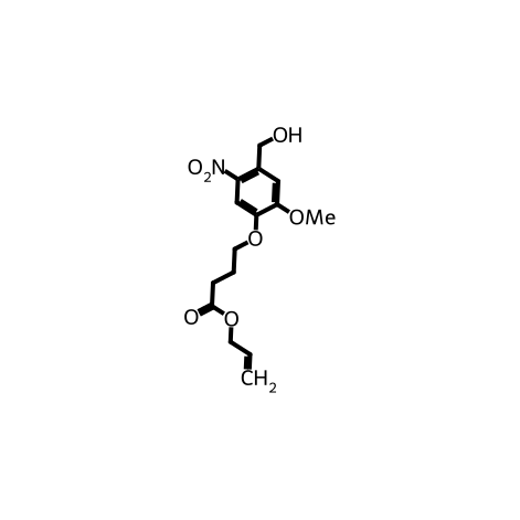 C=CCOC(=O)CCCOc1cc([N+](=O)[O-])c(CO)cc1OC